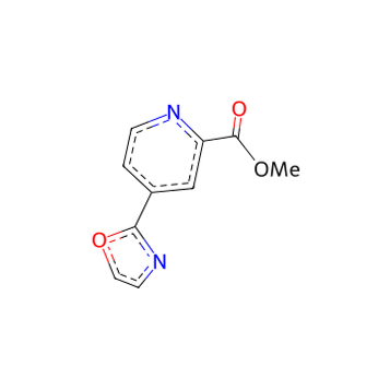 COC(=O)c1cc(-c2ncco2)ccn1